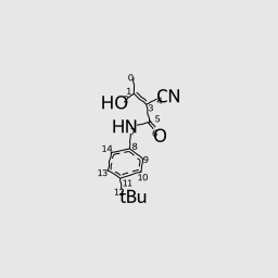 CC(O)=C(C#N)C(=O)Nc1ccc(C(C)(C)C)cc1